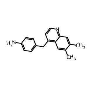 Cc1cc2nccc(Cc3ccc(N)cc3)c2cc1C